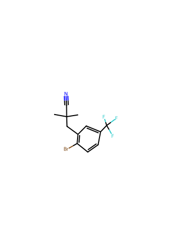 CC(C)(C#N)Cc1cc(C(F)(F)F)ccc1Br